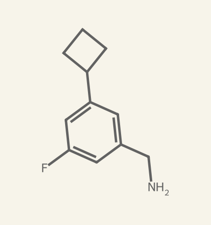 NCc1cc(F)cc(C2CCC2)c1